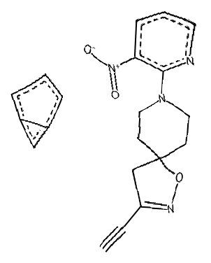 C#CC1=NOC2(CCN(c3ncccc3[N+](=O)[O-])CC2)C1.c1cc2cc-2c1